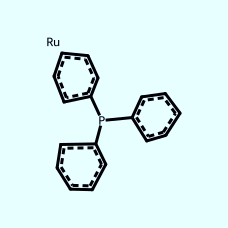 [Ru].c1ccc(P(c2ccccc2)c2ccccc2)cc1